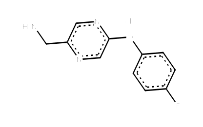 Cl.NCc1cnc(Oc2ccc(F)cc2)cn1